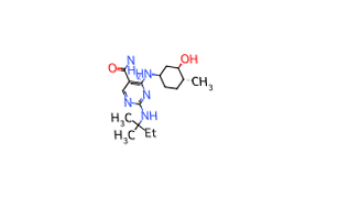 CCC(C)(C)Nc1ncc(C(N)=O)c(N[C@@H]2CC[C@@H](C)[C@H](O)C2)n1